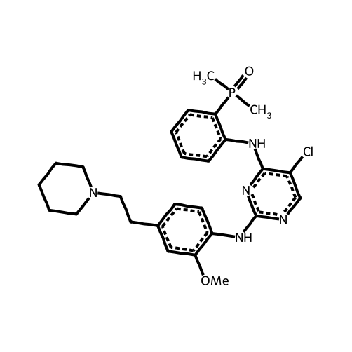 COc1cc(CCN2CCCCC2)ccc1Nc1ncc(Cl)c(Nc2ccccc2P(C)(C)=O)n1